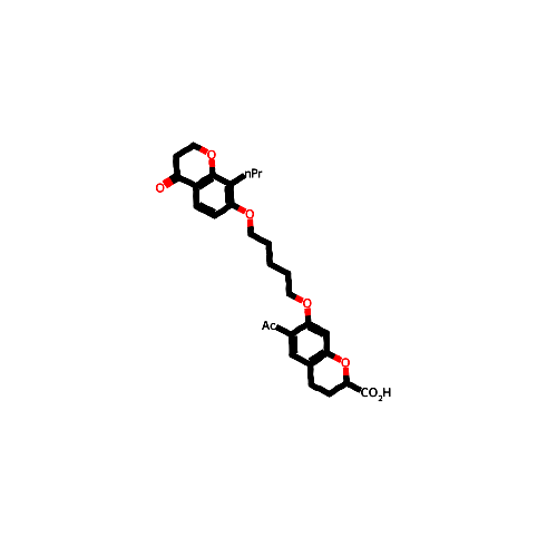 CCCc1c(OCCCCCOc2cc3c(cc2C(C)=O)CCC(C(=O)O)O3)ccc2c1OCCC2=O